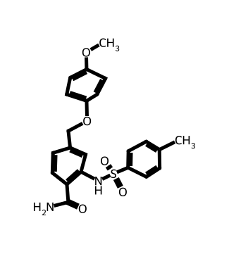 COc1ccc(OCc2ccc(C(N)=O)c(NS(=O)(=O)c3ccc(C)cc3)c2)cc1